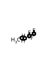 CC1CC[C@@H]2C[C@H](c3cc(F)c(-c4cccc(F)c4)c(F)c3)CC[C@@H]2C1